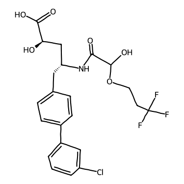 O=C(N[C@H](Cc1ccc(-c2cccc(Cl)c2)cc1)C[C@@H](O)C(=O)O)C(O)OCCC(F)(F)F